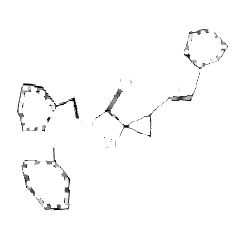 O=C(OCc1ccccc1Oc1ccccc1)C1(Br)CC1/C=C/c1ccccc1